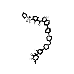 CC1(c2ccc(C3CCN(CC4CCN(c5ccc(-c6cnc7[nH]cc(C(=O)c8c(F)ccc(NS(=O)(=O)N9CC[C@@H](F)C9)c8F)c7c6)cc5)CC4)CC3)cc2F)CCC(=O)NC1=O